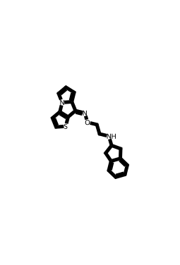 c1ccc2c(c1)CC(NCCO/N=C1\c3sccc3-n3cccc31)C2